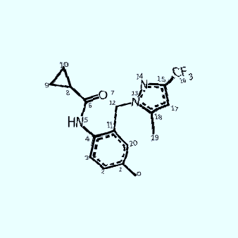 Cc1ccc(NC(=O)C2CC2)c(Cn2nc(C(F)(F)F)cc2C)c1